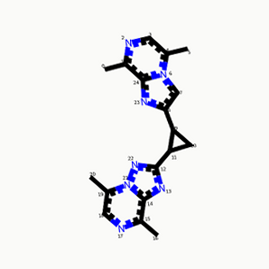 Cc1ncc(C)n2cc(C3CC3c3nc4c(C)ncc(C)n4n3)nc12